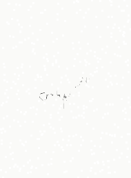 CC(C)(CCSCCC[N+](C)(C)C)NC(=O)OCc1ccccc1